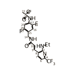 CCNc1nc(C(F)(F)F)ccc1/C=C/C(=O)NCc1cc(F)c(NS(C)(=O)=O)cc1F